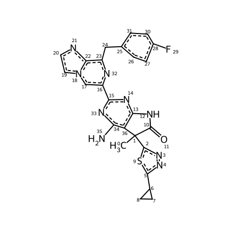 CC1(c2nnc(C3CC3)s2)C(=O)Nc2nc(-c3cn4ccnc4c(Cc4ccc(F)cc4)n3)nc(N)c21